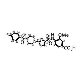 COc1cc(C(=O)O)ccc1NS(=O)(=O)c1csc(N2CCN(S(=O)(=O)c3ccc(C)cc3)CC2)n1